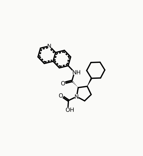 O=C(Nc1ccc2ncccc2c1)[C@@H]1[C@@H](C2CCCCC2)CCN1C(=O)O